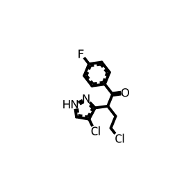 O=C(c1ccc(F)cc1)C(CCCl)c1n[nH]cc1Cl